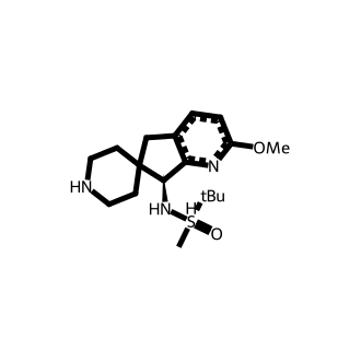 COc1ccc2c(n1)[C@@H](N[SH](C)(=O)C(C)(C)C)C1(CCNCC1)C2